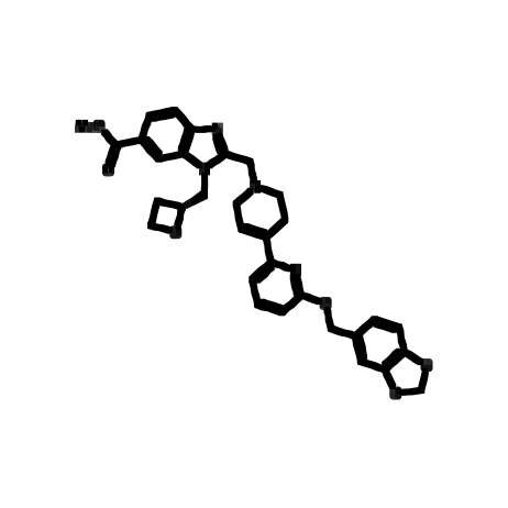 COC(=O)c1ccc2nc(CN3CC=C(c4cccc(OCc5ccc6c(c5)OCO6)n4)CC3)n(C[C@@H]3CCO3)c2c1